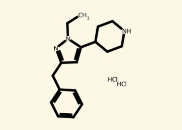 CCn1nc(Cc2ccccc2)cc1C1CCNCC1.Cl.Cl